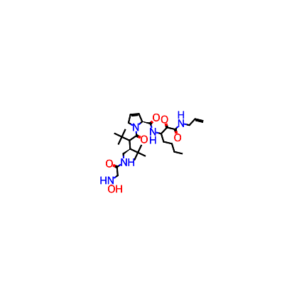 C=CCNC(=O)C(=O)C(CCCC)NC(=O)[C@@H]1C=CCN1C(=O)C([C@H](CNC(=O)CNO)C(C)(C)C)C(C)(C)C